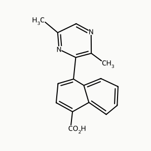 Cc1cnc(C)c(-c2ccc(C(=O)O)c3ccccc23)n1